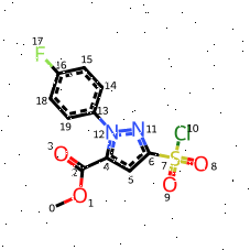 COC(=O)c1cc(S(=O)(=O)Cl)nn1-c1ccc(F)cc1